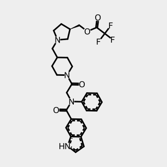 O=C(CN(C(=O)c1ccc2cc[nH]c2c1)c1ccccc1)N1CCC(CN2CC[C@@H](COC(=O)C(F)(F)F)C2)CC1